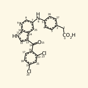 O=C(O)Cc1ccc(Nc2cnc3[nH]cc(C(=O)c4ccc(Cl)cc4Cl)c3c2)cc1